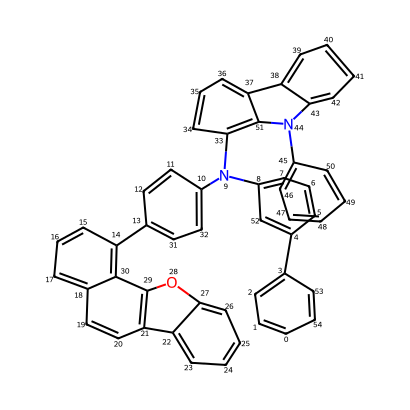 c1ccc(-c2cccc(N(c3ccc(-c4cccc5ccc6c7ccccc7oc6c45)cc3)c3cccc4c5ccccc5n(-c5ccccc5)c34)c2)cc1